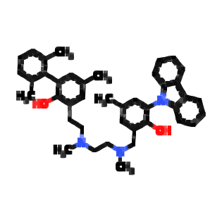 Cc1cc(CCN(C)CCN(C)Cc2cc(C)cc(-n3c4ccccc4c4ccccc43)c2O)c(O)c(-c2c(C)cccc2C)c1